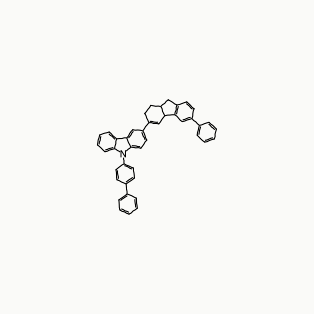 C1=C(c2ccc3c(c2)c2ccccc2n3-c2ccc(-c3ccccc3)cc2)CCC2Cc3ccc(-c4ccccc4)cc3C12